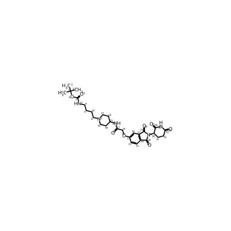 CC(C)(C)OC(=O)NCCCCN1CCC(NC(=O)COc2ccc3c(c2)C(=O)N(C2CCC(=O)NC2=O)C3=O)CC1